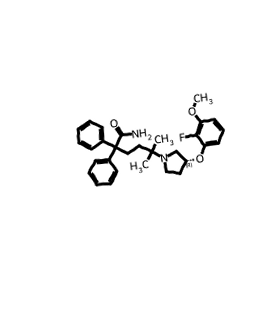 COc1cccc(O[C@@H]2CCN(C(C)(C)CCC(C(N)=O)(c3ccccc3)c3ccccc3)C2)c1F